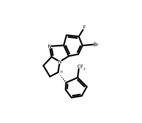 Fc1cc2nc3n(c2cc1Br)[C@H](c1ccccc1C(F)(F)F)CC3